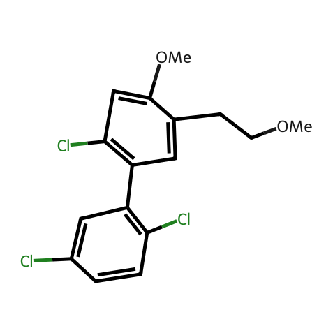 COCCc1cc(-c2cc(Cl)ccc2Cl)c(Cl)cc1OC